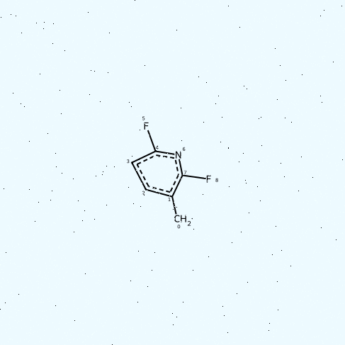 [CH2]c1ccc(F)nc1F